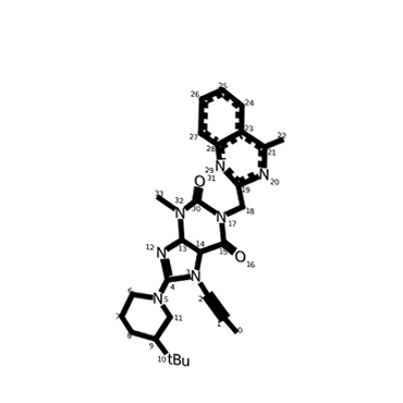 CC#CN1C(N2CCCC(C(C)(C)C)C2)=NC2C1C(=O)N(Cc1nc(C)c3ccccc3n1)C(=O)N2C